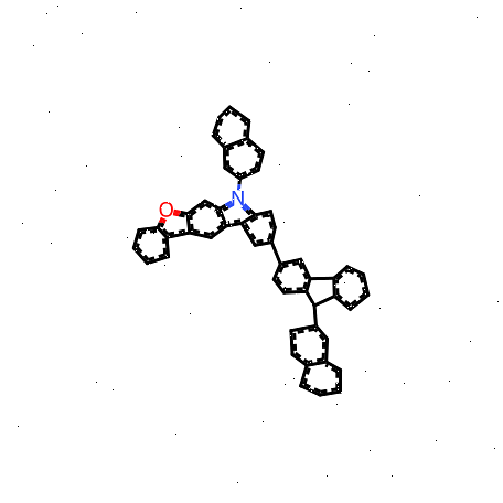 c1ccc2c(c1)-c1cc(-c3ccc4c(c3)c3cc5c(cc3n4-c3ccc4ccccc4c3)oc3ccccc35)ccc1C2c1ccc2ccccc2c1